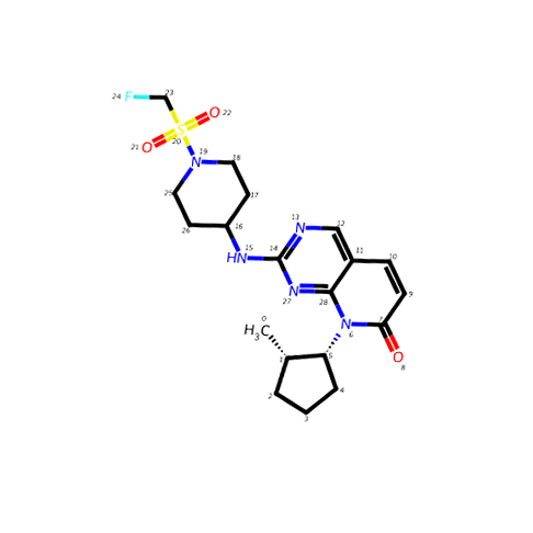 C[C@H]1CCC[C@H]1n1c(=O)ccc2cnc(NC3CCN(S(=O)(=O)CF)CC3)nc21